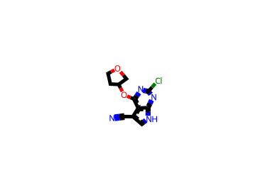 N#Cc1c[nH]c2nc(Cl)nc(OC3CCOC3)c12